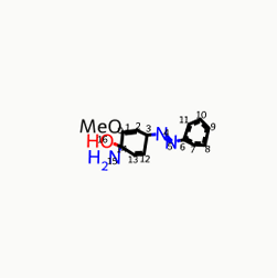 COC1=CC(/N=N/c2ccccc2)C=CC1(N)O